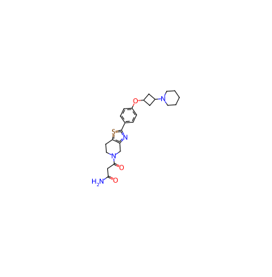 NC(=O)CC(=O)N1CCc2sc(-c3ccc(OC4CC(N5CCCCC5)C4)cc3)nc2C1